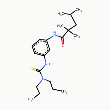 CCCN(CCC)C(=S)Nc1cccc(NC(=O)C(C)(C)CC(C)C)c1